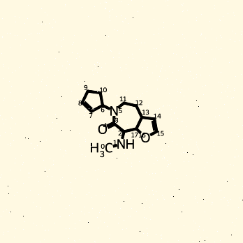 CNC1C(=O)N(C2C=CCC2)CCC2C=COC21